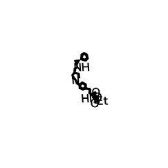 CCS(=O)(=O)NC(=O)/C=C/c1ccc(CN2CCC(CN[C@@H]3C[C@H]3c3ccccc3)CC2)cc1